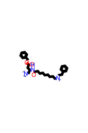 CN(C)CC(CC(=O)OCc1ccccc1)NC(=O)CCCCCCCCN(C)CCc1ccccc1